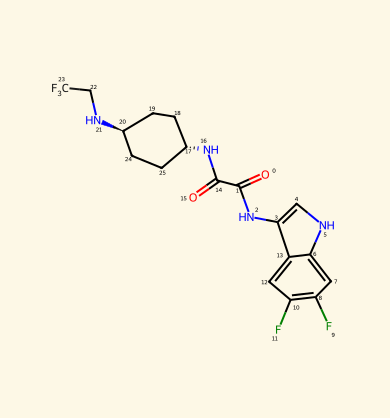 O=C(Nc1c[nH]c2cc(F)c(F)cc12)C(=O)N[C@H]1CC[C@H](NCC(F)(F)F)CC1